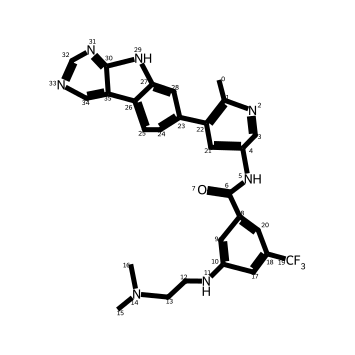 Cc1ncc(NC(=O)c2cc(NCCN(C)C)cc(C(F)(F)F)c2)cc1-c1ccc2c(c1)[nH]c1ncncc12